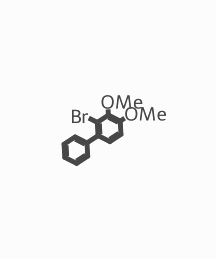 COc1ccc(-c2ccccc2)c(Br)c1OC